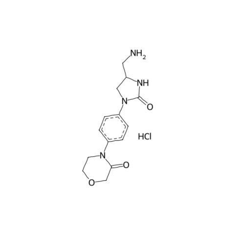 Cl.NCC1CN(c2ccc(N3CCOCC3=O)cc2)C(=O)N1